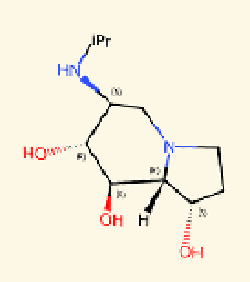 CC(C)N[C@H]1CN2CC[C@H](O)[C@@H]2[C@@H](O)[C@@H]1O